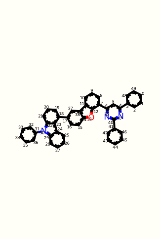 c1ccc(-c2cc(-c3cccc4c3oc3ccc(-c5cccc6c5c5ccccc5n6-c5ccccc5)cc34)nc(-c3ccccc3)n2)cc1